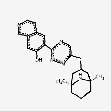 C[C@]12CCC[C@](C)(CC(Sc3cnc(-c4cc5ccncc5cc4O)nn3)C1)N2